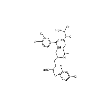 CC(CCNC(=O)C(N)C(C)C)NC(CCN(C=O)Cc1ccc(Cl)cc1Cl)CNC(=O)c1ccc(Cl)c(Cl)c1